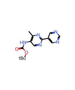 Cc1nc(-c2cncnc2)ncc1NC(=O)OC(C)(C)C